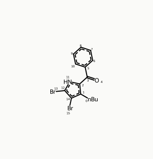 CCCCc1c(C(=O)c2ccccc2)[nH]c(Br)c1Br